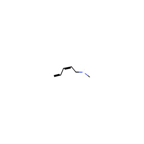 C=C/C=C\CNC